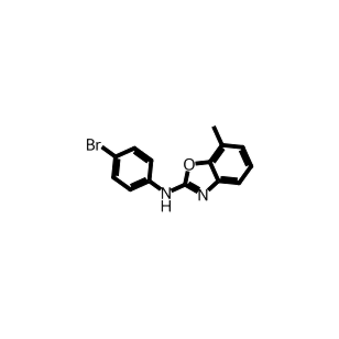 Cc1cccc2nc(Nc3ccc(Br)cc3)oc12